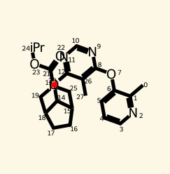 Cc1ncccc1Oc1ncnc(OC2C3CCC2CN(C(=O)OC(C)C)C3)c1C